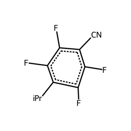 CC(C)c1c(F)c(F)c(C#N)c(F)c1F